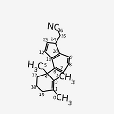 CC1=C(C)C(C)(c2cccc3c2C=CC3CC#N)CCC1